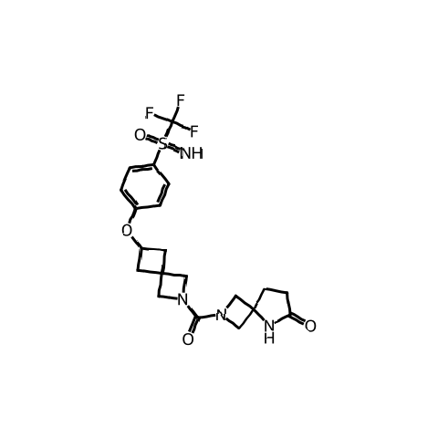 N=S(=O)(c1ccc(OC2CC3(C2)CN(C(=O)N2CC4(CCC(=O)N4)C2)C3)cc1)C(F)(F)F